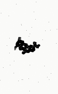 COC(=O)c1ccc2c(c1)N(Cc1cc(F)cc(F)c1)C(=O)N(C)C2